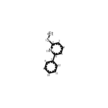 CCSc1cccc(-c2ccccc2)n1